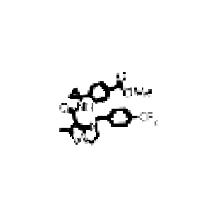 COC(=O)c1ccc(C2(NC(=O)c3c(C)nn4c3N(Cc3ccc(C(F)(F)F)cc3)CC4)CC2)cc1